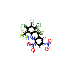 O=[N+]([O-])c1cc([N+](=O)[O-])c(Nc2c(Cl)c(Cl)c(Cl)c(Cl)c2C(F)(F)F)c(C(F)(F)F)c1